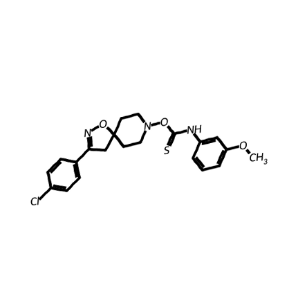 COc1cccc(NC(=S)ON2CCC3(CC2)CC(c2ccc(Cl)cc2)=NO3)c1